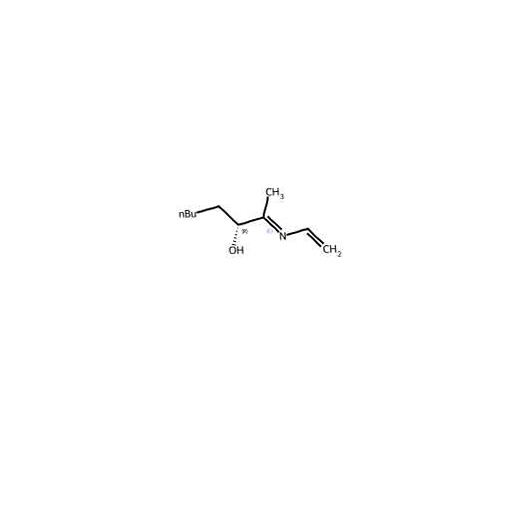 C=C/N=C(\C)[C@H](O)CCCCC